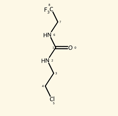 O=C(NCCCl)NCC(F)(F)F